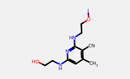 Cc1cc(NCCO)nc(NCCOI)c1C#N